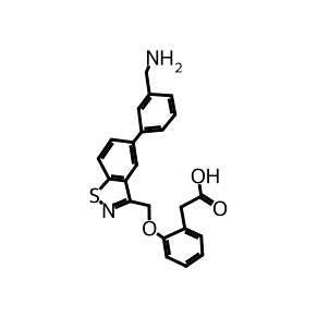 NCc1cccc(-c2ccc3snc(COc4ccccc4CC(=O)O)c3c2)c1